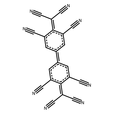 N#CC(C#N)=c1c(C#N)cc(=c2cc(C#N)c(=C(C#N)C#N)c(C#N)c2)cc1C#N